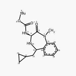 CN1C(=O)[C@H](NC(=O)OC(C)(C)C)NC(CC2CC2)c2ccccc21